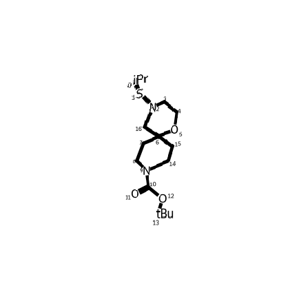 CC(C)SN1CCOC2(CCN(C(=O)OC(C)(C)C)CC2)C1